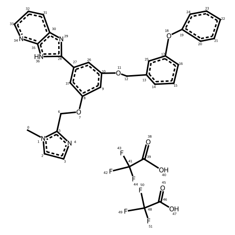 Cn1ccnc1COc1cc(OCc2cccc(Oc3ccccc3)c2)cc(-c2nc3cccnc3[nH]2)c1.O=C(O)C(F)(F)F.O=C(O)C(F)(F)F